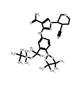 CC(C)(O[Si](C)(C)C(C)(C)C)c1cc(Nc2nn(C3COCCC3C#N)cc2C(N)=O)ccc1B1OC(C)(C)C(C)(C)O1